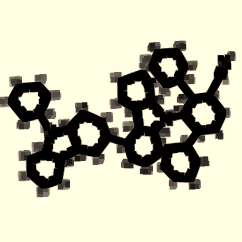 N#Cc1ccc(-c2ccccc2)c(-n2c3ccccc3c3c(-c4ccc5c(c4)c4ccccc4n5-c4ccccc4)cccc32)c1-c1ccccc1